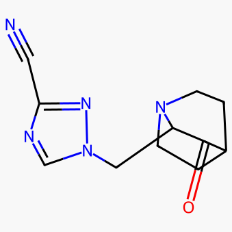 N#Cc1ncn(CC2C(=O)C3CCN2CC3)n1